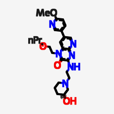 CCCOCCn1c(=O)c(NCCN2CCC[C@H](O)C2)nc2ncc(-c3ccc(OC)nc3)cc21